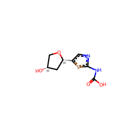 O=C(O)Nc1ncc([C@@H]2C[C@H](O)CO2)s1